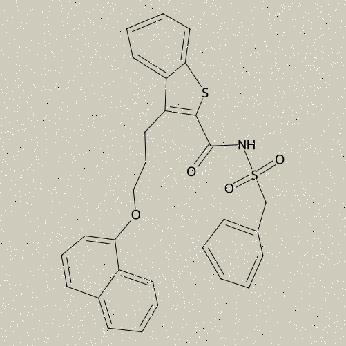 O=C(NS(=O)(=O)Cc1ccccc1)c1sc2ccccc2c1CCCOc1cccc2ccccc12